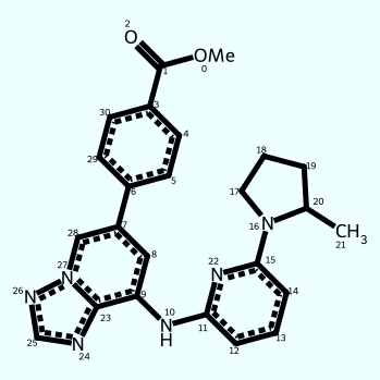 COC(=O)c1ccc(-c2cc(Nc3cccc(N4CCCC4C)n3)c3ncnn3c2)cc1